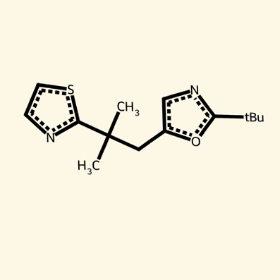 CC(C)(C)c1ncc(CC(C)(C)c2nccs2)o1